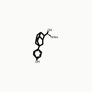 CCCCCC[C@H](O)C1C2CC3CC1CC(c1ccc(O)cc1)(C3)C2